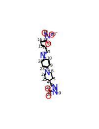 Cn1nc(C2CCN(c3ccc(/N=C/c4ccc([N+](=O)[O-])o4)cc3)CC2)oc1=O